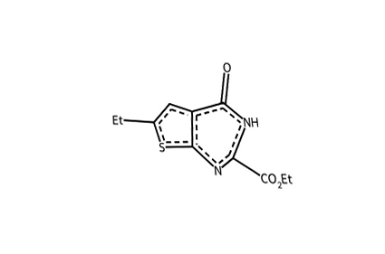 CCOC(=O)c1nc2sc(CC)cc2c(=O)[nH]1